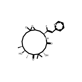 C[C@H]1CCCC2(Cl)OC2C[C@@H](C(F)=Cc2ccccn2)NC(=O)C[C@H](O)C(C)(C)C(=O)[C@H](C)[C@H]1O